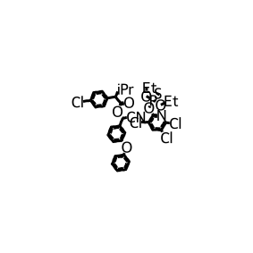 CC(C)C(C(=O)OC(C#N)c1cccc(Oc2ccccc2)c1)c1ccc(Cl)cc1.CCOP(=S)(OCC)Oc1nc(Cl)c(Cl)cc1Cl